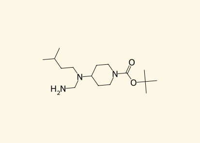 CC(C)CCN(CN)C1CCN(C(=O)OC(C)(C)C)CC1